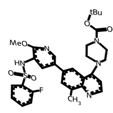 COc1ncc(-c2cc(C)c3nccc(N4CCN(C(=O)OC(C)(C)C)CC4)c3c2)cc1NS(=O)(=O)c1ccccc1F